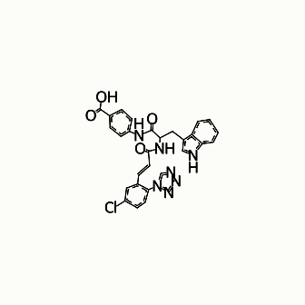 O=C(C=Cc1cc(Cl)ccc1-n1cnnn1)NC(Cc1c[nH]c2ccccc12)C(=O)Nc1ccc(C(=O)O)cc1